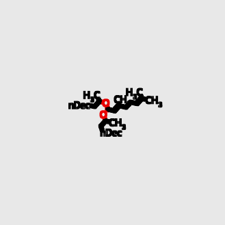 CCCCCCCCCCCC(C)OC(/C=C(\C)CCC=C(C)C)OC(C)CCCCCCCCCCC